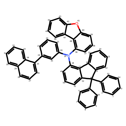 c1ccc(C2(c3ccccc3)c3ccccc3-c3c(N(c4cccc(-c5cccc6ccccc56)c4)c4cccc5oc6ccccc6c45)cccc32)cc1